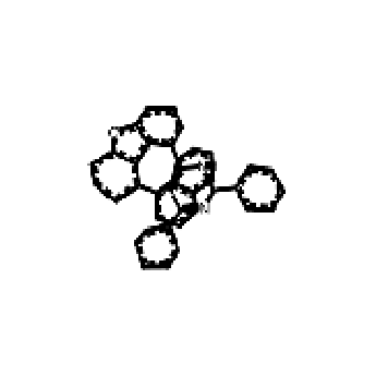 c1ccc(C2=NC(c3ccccc3)NC(c3cccc4oc5cccc(-c6cccc7ccccc67)c5c34)=N2)cc1